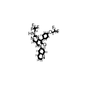 O=c1c(-c2ccc(OCC(F)F)cc2)c2nc(NCC(F)(F)F)ncc2cn1-c1ccc2ncccc2c1